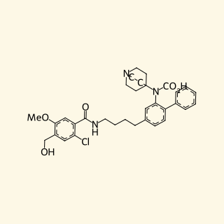 COc1cc(C(=O)NCCCCc2ccc(-c3ccccc3)c(N(C(=O)O)C34CCN(CC3)CC4)c2)c(Cl)cc1CO